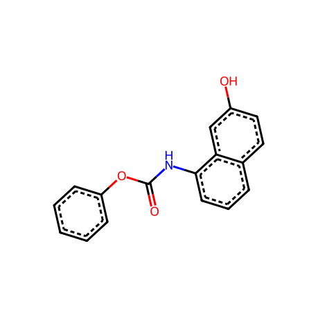 O=C(Nc1cccc2ccc(O)cc12)Oc1ccccc1